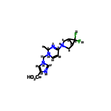 CC1N=C(N2CC3C(C2)C3(F)F)C=CN1Cn1cnc(C(=O)O)c1